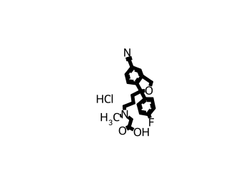 CN(CCCC1(c2ccc(F)cc2)OCc2cc(C#N)ccc21)CC(=O)O.Cl